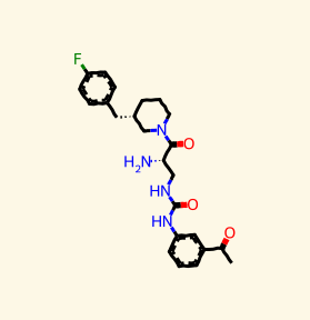 CC(=O)c1cccc(NC(=O)NC[C@H](N)C(=O)N2CCC[C@@H](Cc3ccc(F)cc3)C2)c1